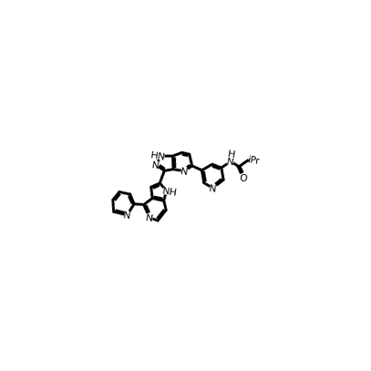 CC(C)C(=O)Nc1cncc(-c2ccc3[nH]nc(-c4cc5c(-c6ccccn6)nccc5[nH]4)c3n2)c1